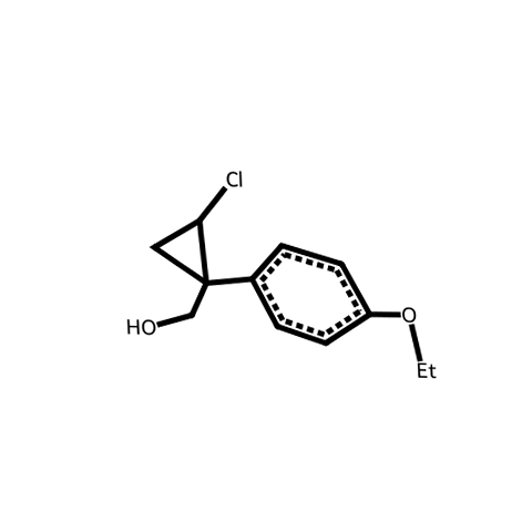 CCOc1ccc(C2(CO)CC2Cl)cc1